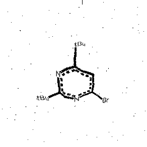 CC(C)(C)c1cc(Br)nc(C(C)(C)C)n1